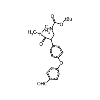 CN(C)C(=O)C(CNC(=O)OC(C)(C)C)c1ccc(Oc2ccc(C=O)cc2)cc1